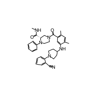 CNC(=O)[C@@H]1CN(C(=O)c2cc(NC3CCN(c4ccccc4C#N)CC3)c(C)cc2C)CCN1c1ccccc1